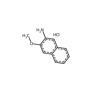 COc1cc2ccccc2cc1N.Cl